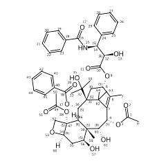 CC(=O)O[C@H]1C2=C(C)[C@@H](OC(=O)[C@H](O)[C@@H](NC(=O)c3ccccc3)c3ccccc3)C[C@@](C(C)(C)O)([C@@H](OC(=O)c3ccccc3)[C@@H]3[C@]4(OC(C)=O)CO[C@@H]4C[C@H](O)[C@@]3(C)[C@H]1O)C2(C)C